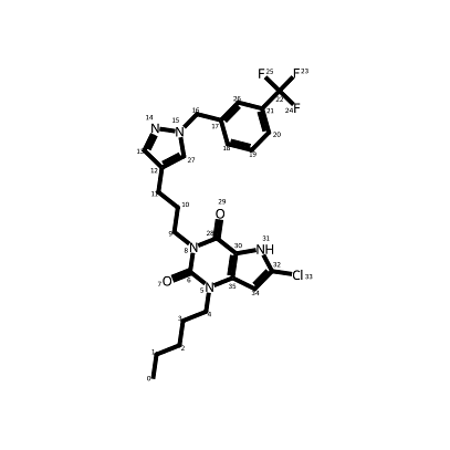 CCCCCn1c(=O)n(CCCc2cnn(Cc3cccc(C(F)(F)F)c3)c2)c(=O)c2[nH]c(Cl)cc21